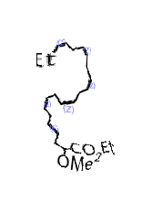 CC/C=C\C/C=C\C/C=C\C/C=C\C/C=C\C/C=C/CC(OC)C(=O)OCC